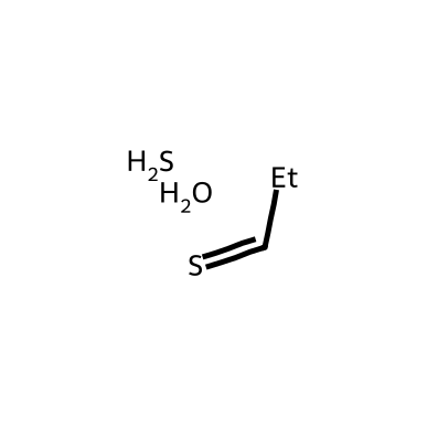 CCC=S.O.S